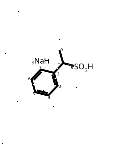 CC(c1ccccc1)S(=O)(=O)O.[NaH]